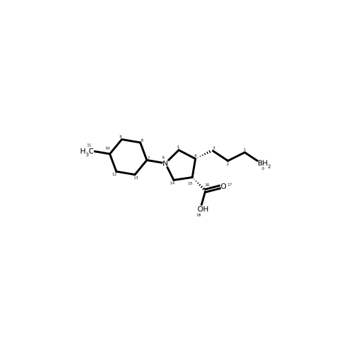 BCCC[C@H]1CN(C2CCC(C)CC2)C[C@H]1C(=O)O